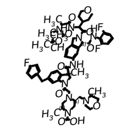 CC(C(=O)NC(C(=O)N1Cc2ccc(NC(=O)[C@]3(C)CN(C(=O)CN4C[C@@H](C)N(C(=O)O)C[C@@H]4CN4CCOC[C@H]4C)c4cc(Cc5ccc(F)cc5)ccc43)cc2[C@H]1C(=O)Nc1c(F)cccc1F)C1CCOCC1)N(C)C(=O)OC(C)(C)C